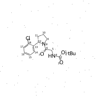 CC(C)(C)OC(=O)NCC(=O)N1CCCC1c1ccccc1Cl